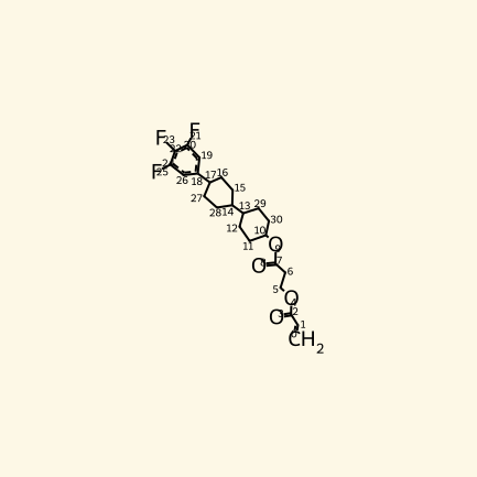 C=CC(=O)OCCC(=O)OC1CCC(C2CCC(c3cc(F)c(F)c(F)c3)CC2)CC1